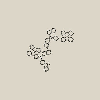 CC1(C)c2ccccc2-c2ccc(N(c3ccc4c(c3)C3(c5ccccc5-c5ccccc53)c3ccccc3-4)c3ccc4c(-c5ccc6ccc(N(c7ccc(-c8ccc9c(c8)C8(c%10ccccc%10-c%10ccccc%108)c8ccccc8-9)cc7)c7cccc8ccccc78)cc6c5)cccc4c3)cc21